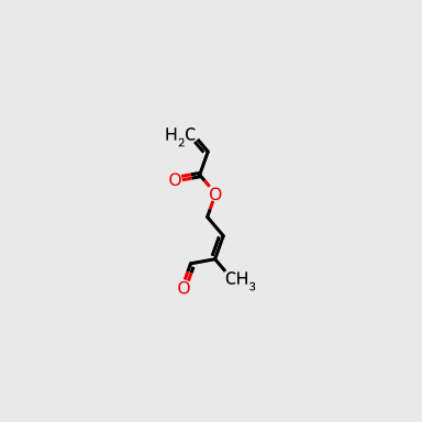 C=CC(=O)OCC=C(C)C=O